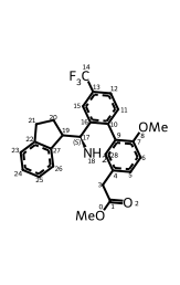 COC(=O)Cc1ccc(OC)c(-c2ccc(C(F)(F)F)cc2[C@@H](N)C2CCc3ccccc32)c1